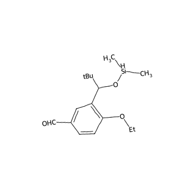 CCOc1ccc(C=O)cc1C(O[SiH](C)C)C(C)(C)C